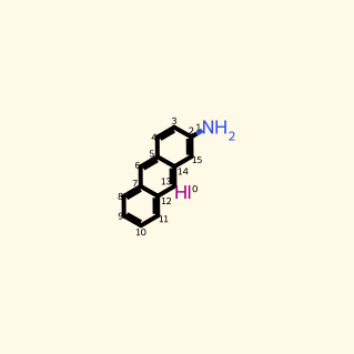 I.Nc1ccc2cc3ccccc3cc2c1